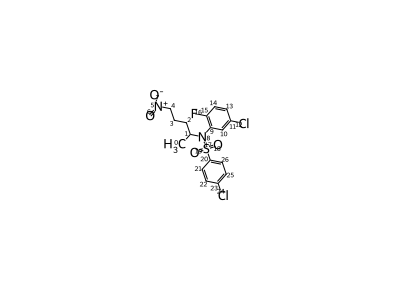 CC(CCC[N+](=O)[O-])N(c1cc(Cl)ccc1F)S(=O)(=O)c1ccc(Cl)cc1